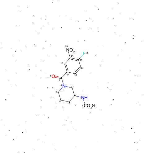 O=C(O)NC1CCCN(C(=O)c2ccc(F)c([N+](=O)[O-])c2)C1